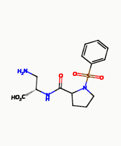 NC[C@H](NC(=O)C1CCCN1S(=O)(=O)c1ccccc1)C(=O)O